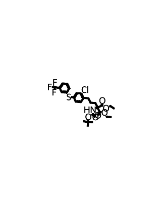 CCOC(=O)C(CCCc1ccc(Sc2cccc(C(F)(F)F)c2)cc1Cl)(NC(=O)OC(C)(C)C)C(=O)OCC